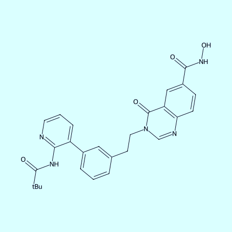 CC(C)(C)C(=O)Nc1ncccc1-c1cccc(CCn2cnc3ccc(C(=O)NO)cc3c2=O)c1